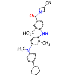 Cc1cc(N(C)c2ccc(C3CCCCC3)cc2)ccc1Nc1ccc(C(=O)N2CC(C#N)C2)cc1C(=O)O